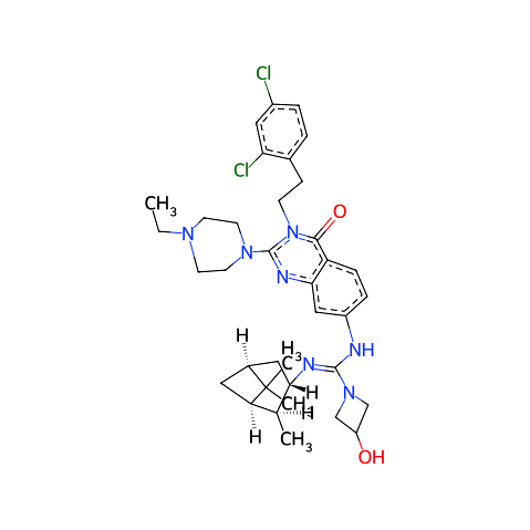 CCN1CCN(c2nc3cc(NC(=N[C@H]4C[C@@H]5C[C@H]([C@@H]4C)C5(C)C)N4CC(O)C4)ccc3c(=O)n2CCc2ccc(Cl)cc2Cl)CC1